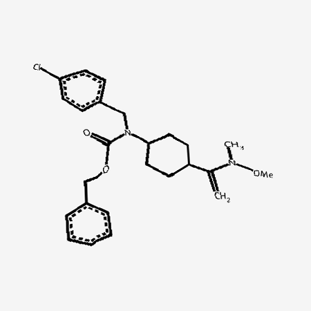 C=C(C1CCC(N(Cc2ccc(Cl)cc2)C(=O)OCc2ccccc2)CC1)N(C)OC